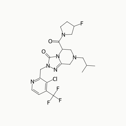 CC(C)CN1Cc2nn(Cc3nccc(C(F)(F)F)c3Cl)c(=O)n2C(C(=O)N2CCC(F)C2)C1